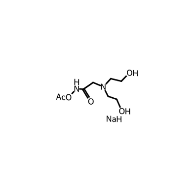 CC(=O)ONC(=O)CN(CCO)CCO.[NaH]